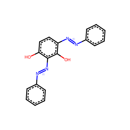 Oc1ccc(/N=N/c2ccccc2)c(O)c1/N=N/c1ccccc1